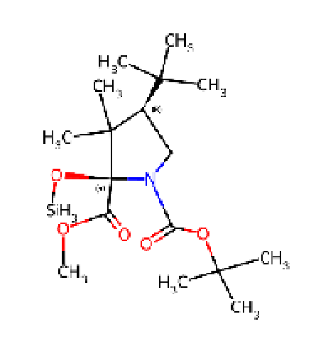 COC(=O)[C@@]1(O[SiH3])N(C(=O)OC(C)(C)C)C[C@H](C(C)(C)C)C1(C)C